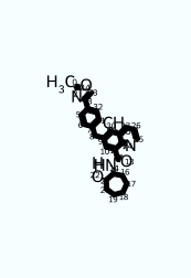 Cc1nc(-c2ccc(Cc3cc(C(=O)N[C@H]4CCCCC[C@@H]4O)c4ncccc4c3C)cc2)co1